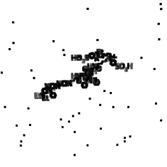 CCN(CC)c1ccc2nc3ccc(/N=N/c4ccc(N(C)CCCC(=O)NCC[C@H](NC(=O)[C@H](CC5CCCCC5)NC(=O)c5ccccc5)C(=O)NCCNC(=O)CCCCCN5\C(=C/C=C/C=C/C6=[N+](CC)c7ccc(S(=O)(=O)O)cc7C6(C)C)C(C)(C)c6cc(S(=O)(=O)O)ccc65)cc4)cc3[n+](-c3ccccc3)c2c1